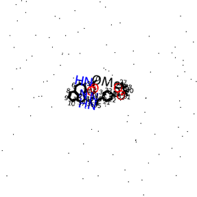 COC(=O)N[C@H]1CCc2cccc3c2N(C1=O)[C@H](c1nc(-c2ccc(B4OC(C)(C)C(C)(C)O4)cc2)c[nH]1)C3